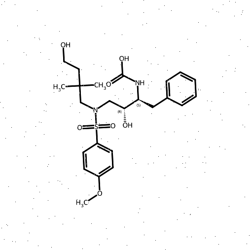 COc1ccc(S(=O)(=O)N(C[C@@H](O)[C@H](Cc2ccccc2)NC(=O)O)CC(C)(C)CCO)cc1